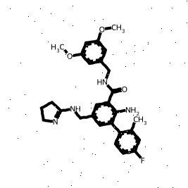 COc1cc(CNC(=O)c2cc(CNC3=NCCC3)cc(-c3ccc(F)cc3C)c2N)cc(OC)c1